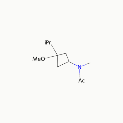 COC1(C(C)C)CC(N(C)C(C)=O)C1